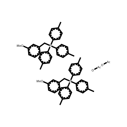 CC(=O)[O-].CC(=O)[O-].COc1cccc(C[P+](c2ccc(C)cc2)(c2ccc(C)cc2)c2ccc(C)cc2)c1.COc1cccc(C[P+](c2ccc(C)cc2)(c2ccc(C)cc2)c2ccc(C)cc2)c1